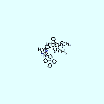 Cc1cc2c(cc1-c1ccccc1CCc1ccc(/C3=N/C(c4cccc5c4-c4ccccc4C5(c4ccccc4)c4ccccc4)=N\C(c4ccccc4)=C\CN3)cc1)C(C)(C)CCC2(C)C